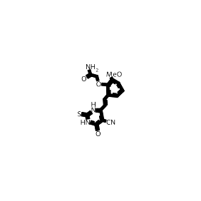 COc1cccc(/C=C/c2[nH]c(=S)[nH]c(=O)c2C#N)c1OCC(N)=O